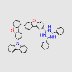 C1=CC(C2NC(c3ccccc3)NC(c3ccc4oc5cc(-c6cccc7oc8cc(-n9c%10ccccc%10c%10ccccc%109)ccc8c67)ccc5c4c3)N2)=CCC1